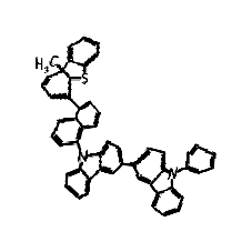 CC12C=CC=C(c3cccc4c(-n5c6ccccc6c6cc(-c7ccc8c(c7)c7ccccc7n8-c7ccccc7)ccc65)cccc34)C1Sc1ccccc12